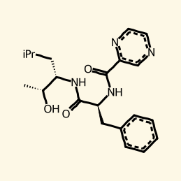 CC(C)C[C@H](NC(=O)[C@H](Cc1ccccc1)NC(=O)c1cnccn1)[C@@H](C)O